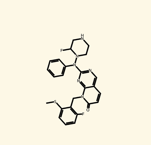 CSc1cccc(F)c1Cn1c(=O)ccc2cnc(N(c3ccccc3)N3CCNCC3F)nc21